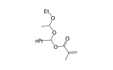 C=C(C)C(=O)OC(CCC)OC(C)OCC